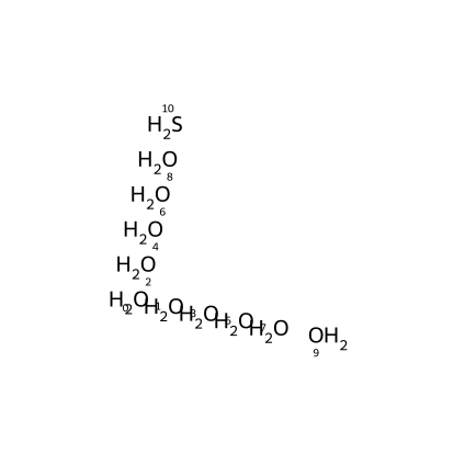 O.O.O.O.O.O.O.O.O.O.S